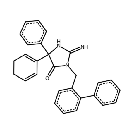 N=C1NC(C2=CCCC=C2)(c2ccccc2)C(=O)N1Cc1ccccc1-c1ccccc1